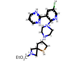 CCOC(=O)N1CC2(C[C@H](N3CCN(c4ncc(F)cc4-c4ncccn4)CC3)CS2)C1